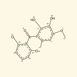 COc1cc(C)c(C(=O)c2c(Cl)cccc2Cl)c(O)c1O